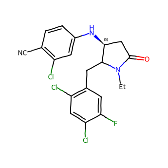 CCN1C(=O)C[C@H](Nc2ccc(C#N)c(Cl)c2)C1Cc1cc(F)c(Cl)cc1Cl